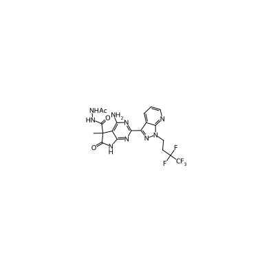 CC(=O)NNC(=O)C1(C)C(=O)Nc2nc(-c3nn(CCC(F)(F)C(F)(F)F)c4ncccc34)nc(N)c21